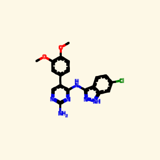 COc1ccc(-c2cnc(N)nc2Nc2n[nH]c3cc(Cl)ccc23)cc1OC